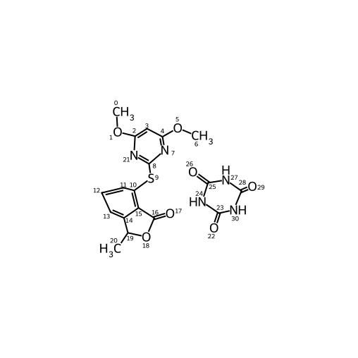 COc1cc(OC)nc(Sc2cccc3c2C(=O)OC3C)n1.O=c1[nH]c(=O)[nH]c(=O)[nH]1